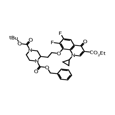 CCOC(=O)c1cn(C2CC2)c2c(OCCC3CN(C(=O)OC(C)(C)C)CCN3C(=O)OCc3ccccc3)c(F)c(F)cc2c1=O